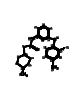 CN1CCN(CC(=O)Nc2cc(Oc3ccc(N)cc3F)ccn2)CC1